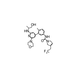 Cc1ccc(NC(=O)N2CC=C(CC(F)(F)F)C2)cc1-c1cc(NC(C)CO)nc(N2CCOCC2)c1